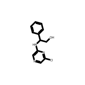 OCC(Nc1cncc(Cl)n1)c1ccccc1